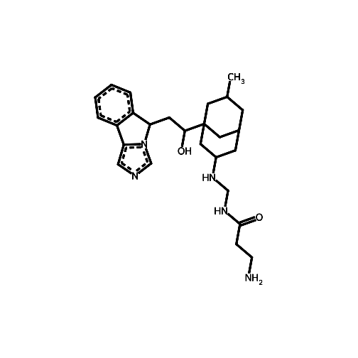 CC1CC2CC(NCNC(=O)CCN)CC(C(O)CC3c4ccccc4-c4cncn43)(C1)C2